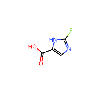 O=C(O)c1cnc(F)[nH]1